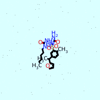 CCCCCCNC(N)=O.Cc1ccc(C(C)c2ccco2)cc1S(=O)(=O)NC(N)=O